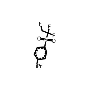 CC(C)c1ccc(S(=O)(=O)C(F)(F)CF)cc1